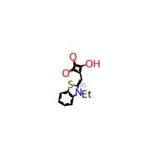 CCN1/C(=C/c2c(O)c(=O)c2=O)Sc2ccccc21